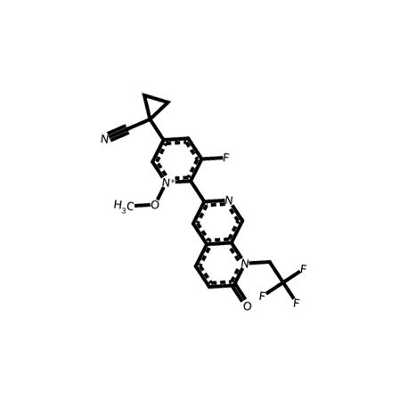 CO[n+]1cc(C2(C#N)CC2)cc(F)c1-c1cc2ccc(=O)n(CC(F)(F)F)c2cn1